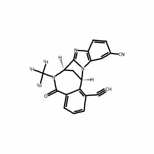 [2H]C([2H])([2H])N1C(=O)c2cccc(C#C)c2[C@H]2C[C@@H]1c1nc3ccc(C#N)cc3n12